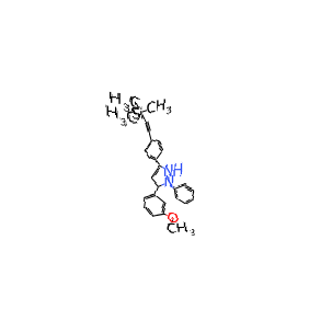 COc1cccc(C2C=C(c3ccc(C#C[Si](C)(C)C)cc3)NN2c2ccccc2)c1